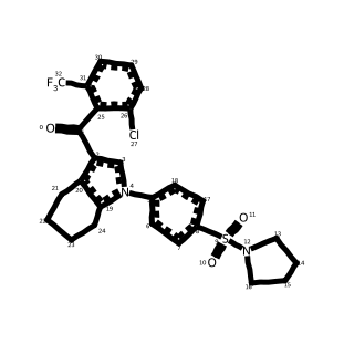 O=C(c1cn(-c2ccc(S(=O)(=O)N3CCCC3)cc2)c2c1CCCC2)c1c(Cl)cccc1C(F)(F)F